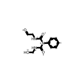 O=[C]CNC(=O)N(C(=O)NCO)c1ccccc1